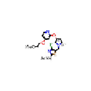 COCCOc1ccnc(O[C@@H]2C[C@H](C)N(Cc3sc(NC(C)=O)nc3F)C2)c1